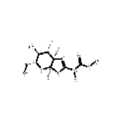 CCN(C(=O)OC(C)(C)C)C1=N[C@@H]2[C@@H](F)[C@H](O)[C@@H](CO)O[C@@H]2S1